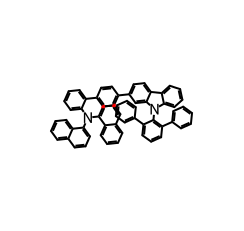 c1ccc(-c2cccc(-c3ccccc3)c2-n2c3ccccc3c3ccc(-c4ccc(-c5ccccc5N(c5cccc6ccccc56)c5cccc6ccccc56)cc4)cc32)cc1